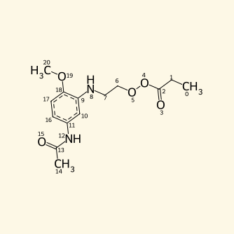 CCC(=O)OOCCNc1cc(NC(C)=O)ccc1OC